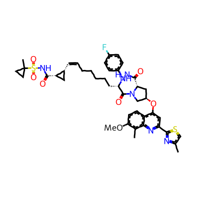 COc1ccc2c(O[C@@H]3C[C@@H](C(N)=O)N(C(=O)[C@H](CCCCC/C=C\[C@@H]4C[C@@H]4C(=O)NS(=O)(=O)C4(C)CC4)Nc4ccc(F)cc4)C3)cc(-c3nc(C)cs3)nc2c1C